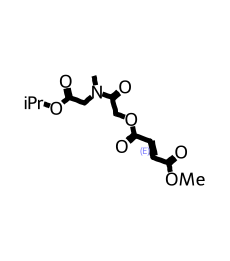 COC(=O)/C=C/C(=O)OCC(=O)N(C)CC(=O)OC(C)C